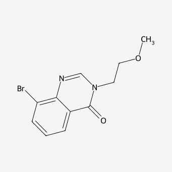 COCCn1cnc2c(Br)cccc2c1=O